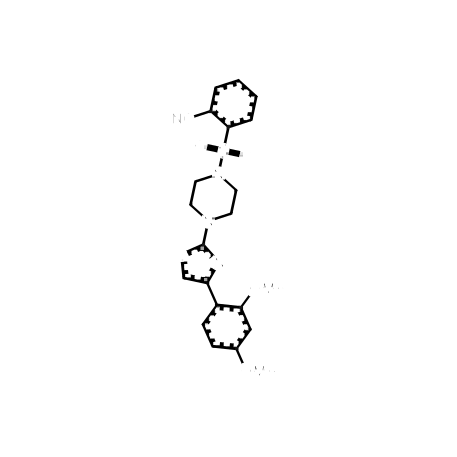 COc1ccc(-c2csc(N3CCN(S(=O)(=O)c4ccccc4C#N)CC3)n2)c(OC)c1